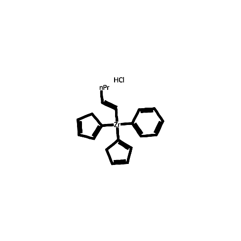 CCCC=[CH][Zr]([C]1=CC=CC1)([C]1=CC=CC1)[c]1ccccc1.Cl